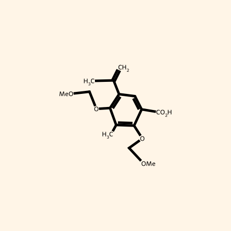 C=C(C)c1cc(C(=O)O)c(OCOC)c(C)c1OCOC